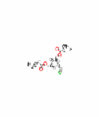 C=CC(=O)OCc1cc(CCl)cc(COC(=O)C=C)c1